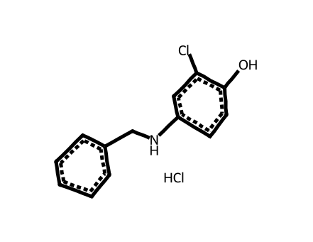 Cl.Oc1ccc(NCc2ccccc2)cc1Cl